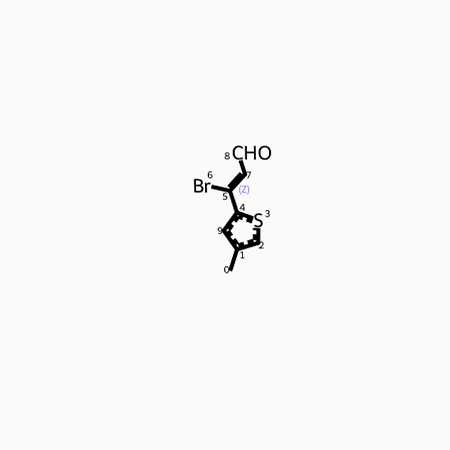 Cc1csc(/C(Br)=C/C=O)c1